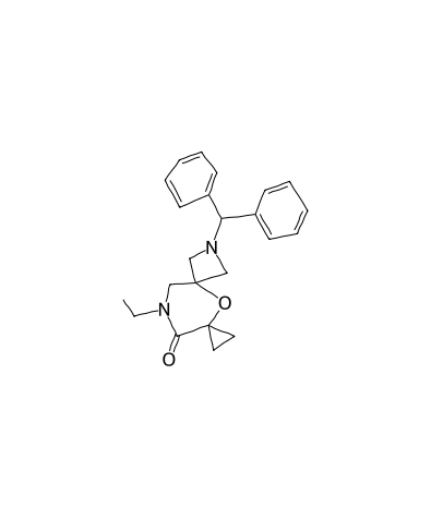 CCN1CC2(CN(C(c3ccccc3)c3ccccc3)C2)OC2(CC2)C1=O